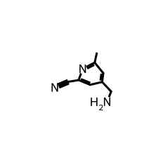 Cc1cc(CN)cc(C#N)n1